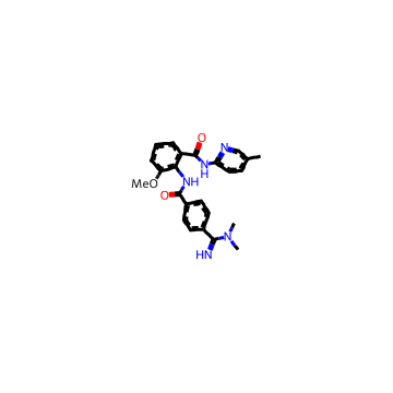 COc1cccc(C(=O)Nc2ccc(C)cn2)c1NC(=O)c1ccc(C(=N)N(C)C)cc1